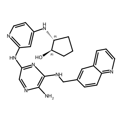 Nc1ncc(Nc2cc(N[C@@H]3CCC[C@H]3O)ccn2)nc1NCc1ccc2ncccc2c1